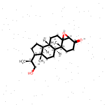 C[C@H](CO)[C@H]1CC[C@H]2[C@@H]3CCC45OC4C(=O)CC[C@]5(C)[C@H]3CC[C@]12C